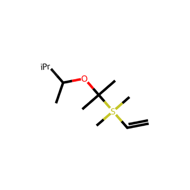 C=CS(C)(C)C(C)(C)OC(C)C(C)C